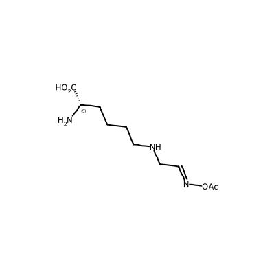 CC(=O)ON=CCNCCCC[C@H](N)C(=O)O